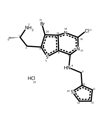 C[C@H](N)Cc1sc2c(NCc3cccs3)nc(Cl)nc2c1Br.Cl